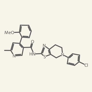 COc1ccccc1-c1cc(C)ncc1C(=O)Nc1nc2c(s1)CN(c1ccc(Cl)cc1)CC2